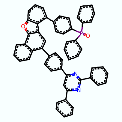 O=P(c1ccccc1)(c1ccccc1)c1ccc(-c2cccc3oc4c5ccccc5c(-c5ccc(-c6cc(-c7ccccc7)nc(-c7ccccc7)n6)cc5)cc4c23)cc1